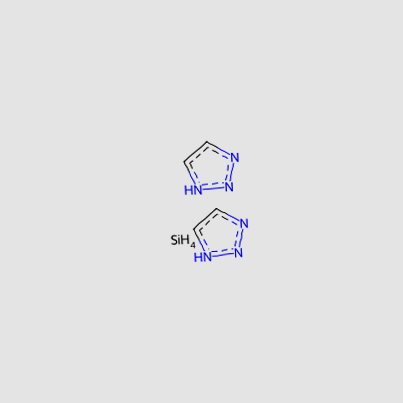 [SiH4].c1c[nH]nn1.c1c[nH]nn1